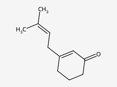 CC(C)=CCC1=CC(=O)CCC1